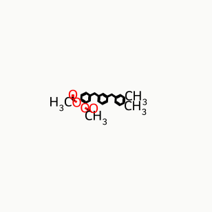 CC(=O)Oc1ccc(Cc2cccc(Cc3ccc(C)c(C)c3)c2)cc1OC(C)=O